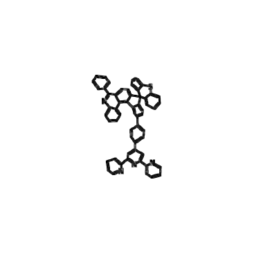 c1ccc(-c2nc3ccccc3c3c4c(ccc23)C2(c3ccccc3Sc3ccccc32)c2ccc(-c3ccc(-c5cc(-c6ccccn6)nc(-c6ccccn6)c5)cc3)cc2-4)cc1